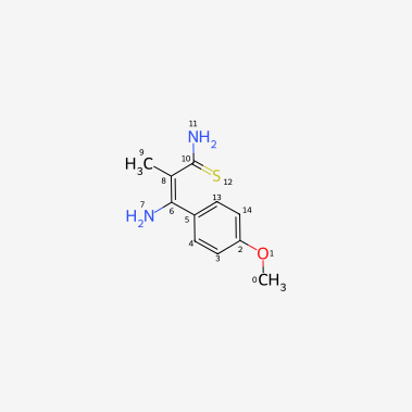 COc1ccc(C(N)=C(C)C(N)=S)cc1